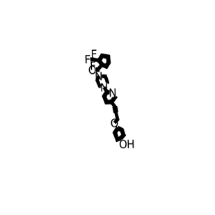 O=C(c1ccccc1C(F)(F)F)N1CCN(c2ccc(C#CCOc3ccc(O)cc3)cn2)CC1